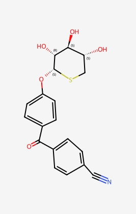 N#Cc1ccc(C(=O)c2ccc(O[C@H]3SC[C@@H](O)[C@H](O)[C@H]3O)cc2)cc1